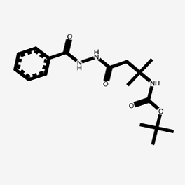 CC(C)(CC(=O)NNC(=O)c1ccccc1)NC(=O)OC(C)(C)C